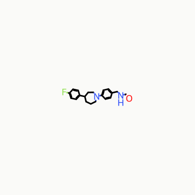 O=CNCc1ccc(N2CCCC(c3ccc(F)cc3)CC2)cc1